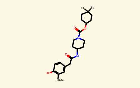 CCC1(CC)CCC(OC(=O)N2CCC(NC(=O)Cc3ccc(O)c(OC)c3)CC2)CC1